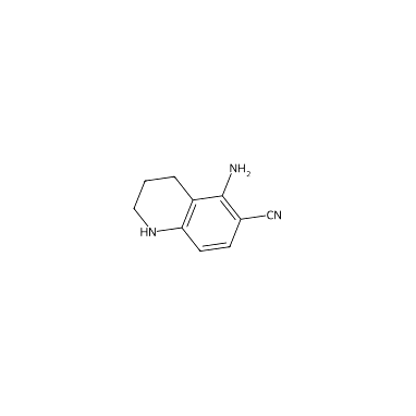 N#Cc1ccc2c(c1N)CCCN2